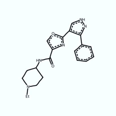 CCN1CCC(NC(=O)c2coc(-c3c[nH]nc3-c3ccccc3)n2)CC1